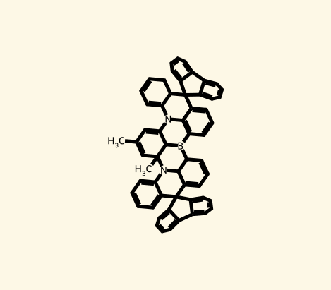 CC1=CC2(C)C3B(c4cccc5c4N(C4=CC=CCC4C54c5ccccc5-c5ccccc54)C3=C1)C1C=CC=C3C1N2c1ccccc1C31c2ccccc2-c2ccccc21